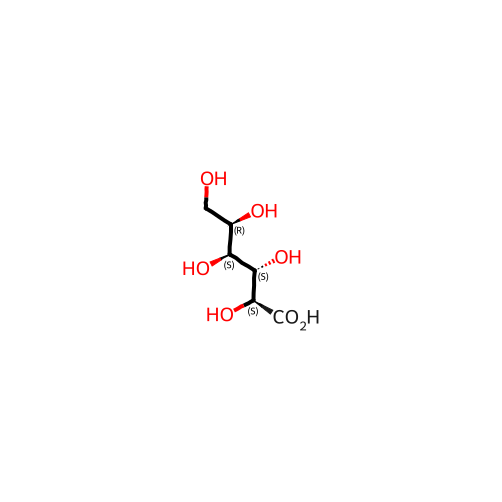 O=C(O)[C@@H](O)[C@@H](O)[C@@H](O)[C@H](O)CO